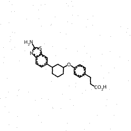 Nc1nc2ccc(C3CCCC(Oc4ccc(CCC(=O)O)cc4)C3)cc2s1